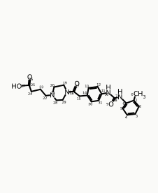 Cc1ccccc1NC(=O)Nc1ccc(CC(=O)N2CCN(CCCC(=O)O)CC2)cc1